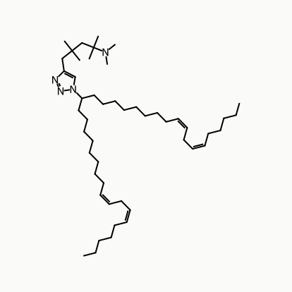 CCCCC/C=C\C/C=C\CCCCCCCCC(CCCCCCCC/C=C\C/C=C\CCCCC)n1cc(CC(C)(C)CC(C)(C)N(C)C)nn1